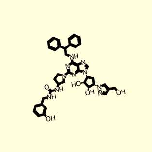 O=C(NCc1cccc(O)c1)NC1CCN(c2nc(NCC(c3ccccc3)c3ccccc3)c3ncn([C@@H]4C[C@H](n5cc(CO)cn5)[C@@H](O)[C@H]4O)c3n2)C1